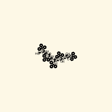 CC(=O)NC(CSC(c1ccccc1)(c1ccccc1)c1ccccc1)C(=O)NCC(=O)NC(CSC(c1ccccc1)(c1ccccc1)c1ccccc1)C(=O)NCC(=O)NC(CSC(c1ccccc1)(c1ccccc1)c1ccccc1)C(=O)NCC(=O)NC(CSC(c1ccccc1)(c1ccccc1)c1ccccc1)C(=O)NCC(=O)NC(CSC(c1ccccc1)(c1ccccc1)c1ccccc1)C(=O)NCC(=O)O